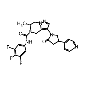 C[C@H]1Cn2ncc(N3CC(c4ccncc4)CC3=O)c2CN1C(=O)Nc1cc(F)c(F)c(F)c1